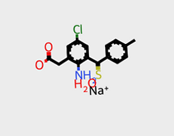 Cc1ccc(C(=S)c2cc(Cl)cc(CC(=O)[O-])c2N)cc1.O.[Na+]